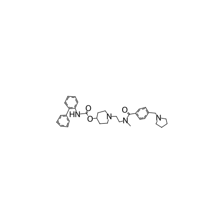 CN(CCN1CCC(OC(=O)Nc2ccccc2-c2ccccc2)CC1)C(=O)c1ccc(CN2CCCC2)cc1